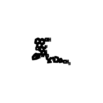 C#Cc1cccc2cc(O)cc(-c3ccc4c(N5CC6CCC(C5)N6)nc(OCC5(CN6CCC7(CC6)CC(C)C7)CC5)nc4c3F)c12